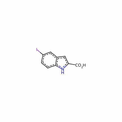 O=C(O)c1cc2cc(I)ccc2[nH]1